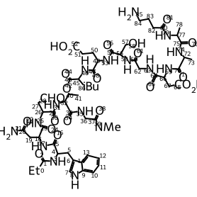 CCC(=O)NC(Cc1c[nH]c2ccccc12)C(=O)NC(CC(N)=O)C(=O)NC(CC=O)C(=O)NC(C(=O)NCC(=O)NC)C(C)OC(=O)C(NC(=O)C(CCC(=O)O)NC(=O)C(CO)NC(=O)CNC(=O)C(CC(=O)O)NC(=O)C(C)NC(=O)C(C)NC(=O)CCCN)C(C)CC